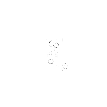 CC(Cc1ccc(OCCC23CC4CC(CC(C4)C2)C3)cc1)NC[C@H](O)c1ccc(O)c2[nH]c(=O)ccc12